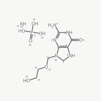 Nc1nc2c(c(=O)[nH]1)NCN2COCCO.O=P(O)(O)O.[KH]